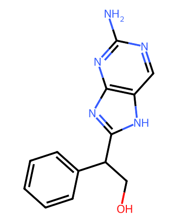 Nc1ncc2[nH]c(C(CO)c3ccccc3)nc2n1